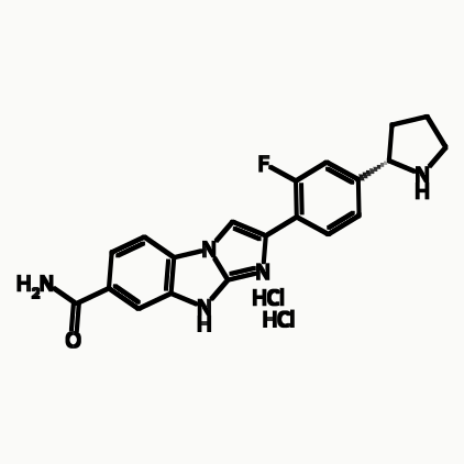 Cl.Cl.NC(=O)c1ccc2c(c1)[nH]c1nc(-c3ccc([C@@H]4CCCN4)cc3F)cn12